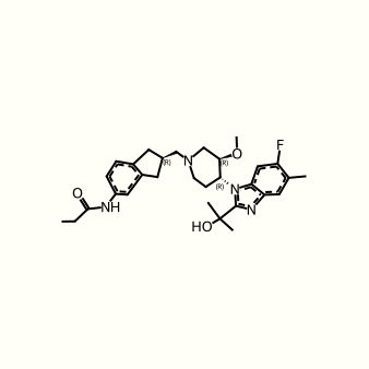 CCC(=O)Nc1ccc2c(c1)C[C@H](CN1CC[C@@H](n3c(C(C)(C)O)nc4cc(C)c(F)cc43)[C@H](OC)C1)C2